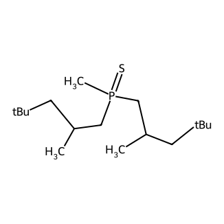 CC(CC(C)(C)C)CP(C)(=S)CC(C)CC(C)(C)C